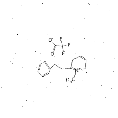 C[N+]1=C(CCc2ccccc2)CC=CC1.O=C([O-])C(F)(F)F